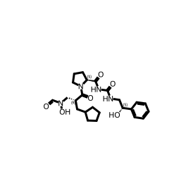 O=CN(O)C[C@@H](CC1CCCC1)C(=O)N1CCC[C@H]1C(=O)NC(=O)NC[C@@H](O)c1ccccc1